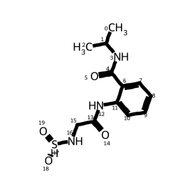 CC(C)NC(=O)c1ccccc1NC(=O)CN[SH](=O)=O